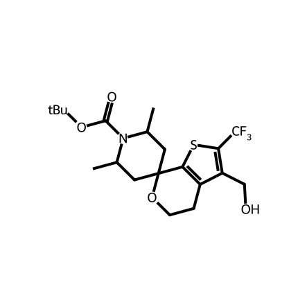 CC1CC2(CC(C)N1C(=O)OC(C)(C)C)OCCc1c2sc(C(F)(F)F)c1CO